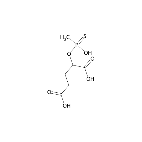 CP(O)(=S)OC(CCC(=O)O)C(=O)O